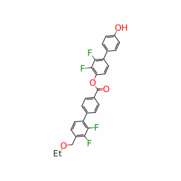 CCOCc1ccc(-c2ccc(C(=O)Oc3ccc(-c4ccc(O)cc4)c(F)c3F)cc2)c(F)c1F